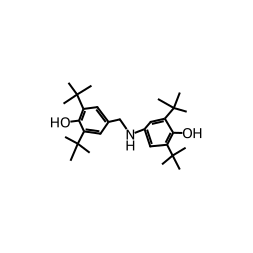 CC(C)(C)c1cc(CNc2cc(C(C)(C)C)c(O)c(C(C)(C)C)c2)cc(C(C)(C)C)c1O